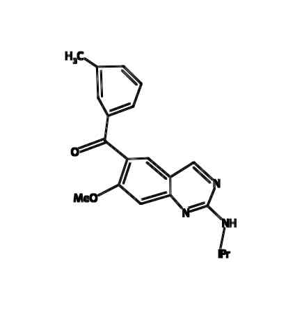 COc1cc2nc(NC(C)C)ncc2cc1C(=O)c1cccc(C)c1